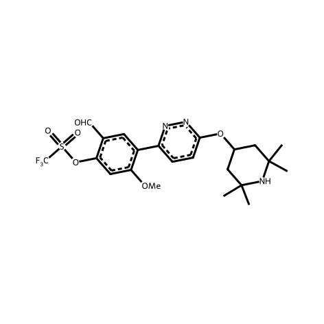 COc1cc(OS(=O)(=O)C(F)(F)F)c(C=O)cc1-c1ccc(OC2CC(C)(C)NC(C)(C)C2)nn1